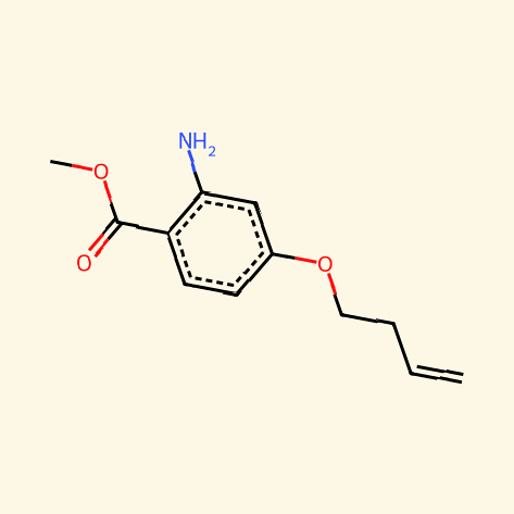 C=CCCOc1ccc(C(=O)OC)c(N)c1